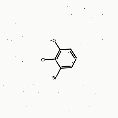 Oc1cccc(Br)c1Cl